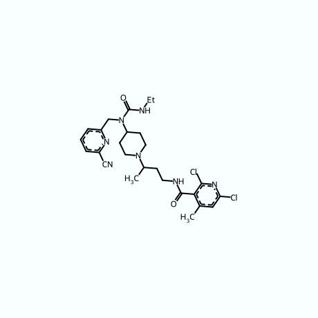 CCNC(=O)N(Cc1cccc(C#N)n1)C1CCN(C(C)CCNC(=O)c2c(C)cc(Cl)nc2Cl)CC1